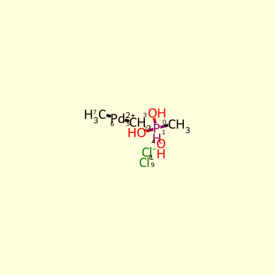 C[PH](O)(O)O.[CH3][Pd+2][CH3].[Cl-].[Cl-]